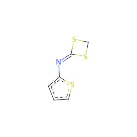 c1csc(N=C2SCS2)c1